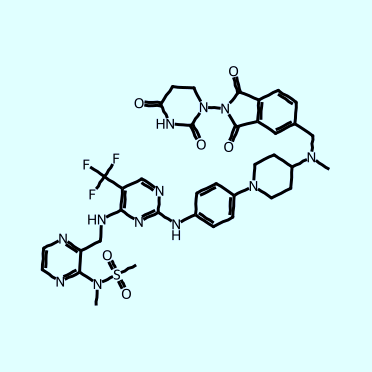 CN(Cc1ccc2c(c1)C(=O)N(N1CCC(=O)NC1=O)C2=O)C1CCN(c2ccc(Nc3ncc(C(F)(F)F)c(NCc4nccnc4N(C)S(C)(=O)=O)n3)cc2)CC1